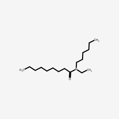 CCCCCCCCC(=O)N(CC)CCCCCC